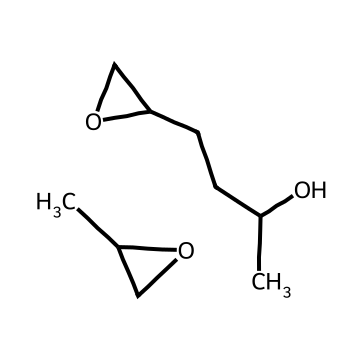 CC(O)CCC1CO1.CC1CO1